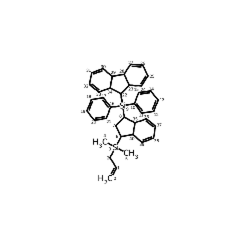 C=CC[Si](C)(C)C1CC([Si](c2ccccc2)(c2ccccc2)C2C3C=CC=CC3C3C=CC=CC32)C2C=CC=CC21